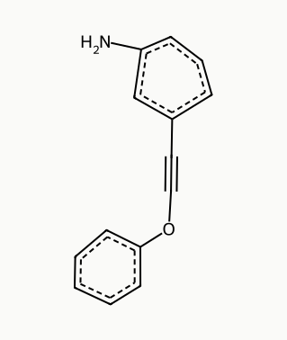 Nc1cccc(C#COc2ccccc2)c1